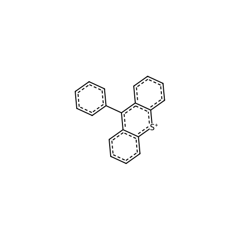 c1ccc(-c2c3ccccc3[s+]c3ccccc23)cc1